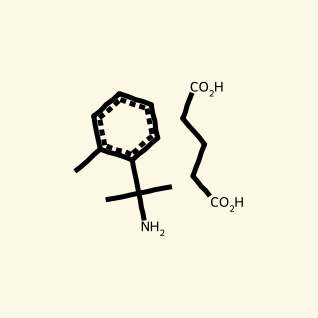 Cc1ccccc1C(C)(C)N.O=C(O)CCCC(=O)O